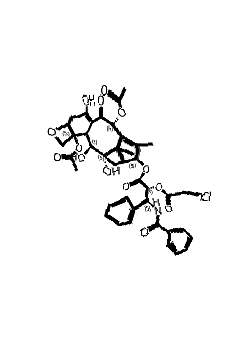 CC(=O)O[C@H]1C(=O)C2=C(O)CC3OC[C@@]3(OC(C)=O)C2[C@H](O)[C@]2(O)C[C@H](OC(=O)[C@H](OC(=O)CCl)[C@@H](NC(=O)c3ccccc3)c3ccccc3)C(C)=C1C2(C)C